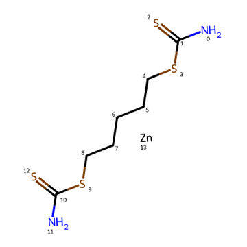 NC(=S)SCCCCCSC(N)=S.[Zn]